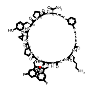 C[C@@]12CCCN1C(=O)[C@H](Cc1ccc(O)cc1)NC(=O)[C@H](C1(O)CC1)NC(=O)[C@@H]1CCCN1C(=O)[C@H](Cc1c[nH]c3ccc(F)cc13)NC(=O)[C@H](CC1CNc3ccc(F)cc31)NC(=O)CNC(=O)[C@H](CCCCN)NC(=O)CCSCc1cccc(c1)CSC[C@@H](C(N)=O)NC2=O